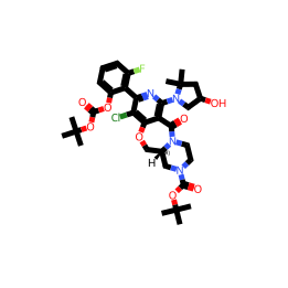 CC(C)(C)OC(=O)Oc1cccc(F)c1-c1nc(N2CC(O)CC2(C)C)c2c(c1Cl)OC[C@H]1CN(C(=O)OC(C)(C)C)CCN1C2=O